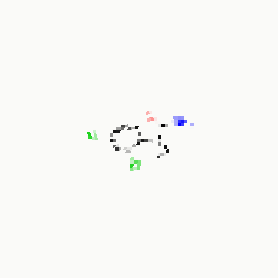 NC(=O)C1(c2ccc(Cl)cc2Cl)CC1